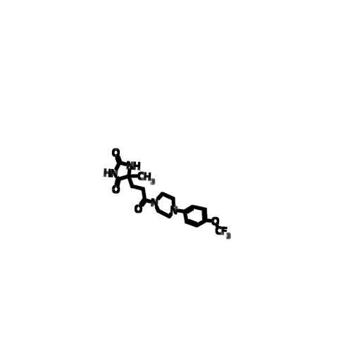 CC1(CCC(=O)N2CCN(c3ccc(OC(F)(F)F)cc3)CC2)NC(=O)NC1=O